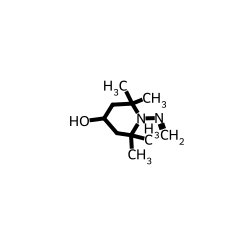 C=NN1C(C)(C)CC(O)CC1(C)C